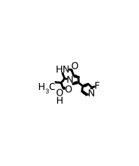 CCC(C(=O)O)C1CNC(=O)c2cc(-c3ccnc(F)c3)cn21